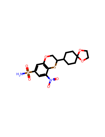 NS(=O)(=O)c1cc2c(c([N+](=O)[O-])c1)SC(C1CCC3(CC1)OCCO3)CO2